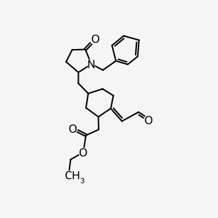 CCOC(=O)CC1CC(CC2CCC(=O)N2Cc2ccccc2)CCC1=CC=O